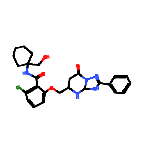 O=C(NC1(CO)CCCCC1)c1c(Cl)cccc1OCC1CC(=O)N2N=C(c3ccccc3)NC2N1